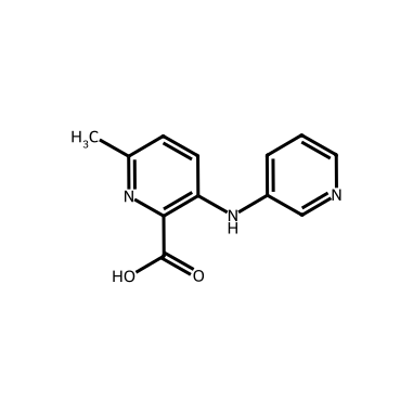 Cc1ccc(Nc2cccnc2)c(C(=O)O)n1